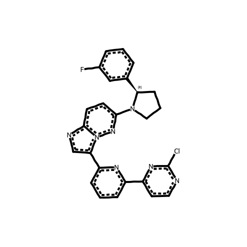 Fc1cccc([C@H]2CCCN2c2ccc3ncc(-c4cccc(-c5ccnc(Cl)n5)n4)n3n2)c1